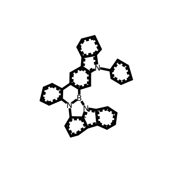 c1ccc(-n2c3ccccc3c3cc4c(cc32)B2N(c3ccccc3-4)c3cccc4c5ccccc5n2c34)cc1